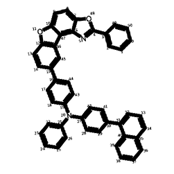 c1ccc(-c2nc3c(ccc4oc5ccc(-c6ccc(N(c7ccccc7)c7ccc(-c8cccc9ccccc89)cc7)cc6)cc5c43)o2)cc1